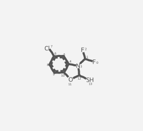 FC(F)N1c2cc(Cl)ccc2OC1S